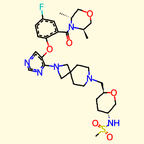 C[C@@H]1COC[C@@H](C)N1C(=O)c1cc(F)ccc1Oc1cncnc1N1CC2(CCN(C[C@@H]3CC[C@@H](NS(C)(=O)=O)CO3)CC2)C1